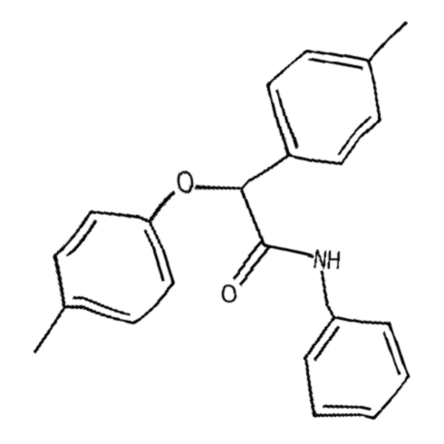 Cc1ccc(OC(C(=O)Nc2ccccc2)c2ccc(C)cc2)cc1